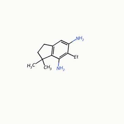 CCc1c(N)cc2c(c1N)C(C)(C)CC2